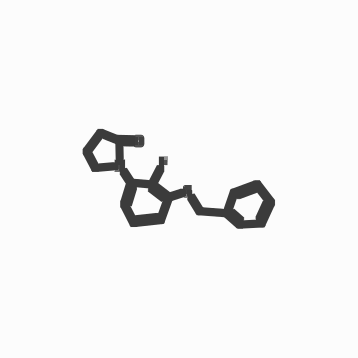 O=C1CCCN1c1cccc(SCc2ccccc2)c1F